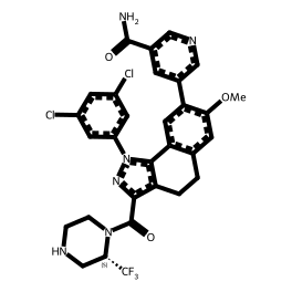 COc1cc2c(cc1-c1cncc(C(N)=O)c1)-c1c(c(C(=O)N3CCNC[C@H]3C(F)(F)F)nn1-c1cc(Cl)cc(Cl)c1)CC2